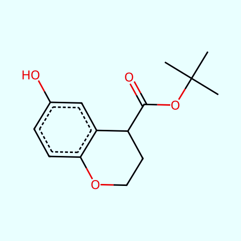 CC(C)(C)OC(=O)C1CCOc2ccc(O)cc21